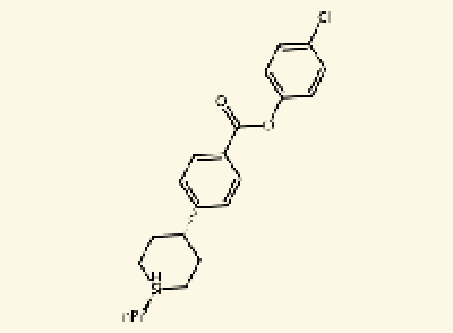 CCC[Si@H]1CC[C@H](c2ccc(C(=O)Oc3ccc(Cl)cc3)cc2)CC1